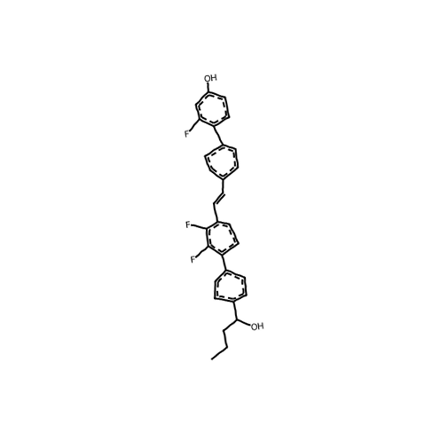 CCCC(O)c1ccc(-c2ccc(/C=C/c3ccc(-c4ccc(O)cc4F)cc3)c(F)c2F)cc1